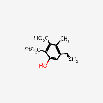 C=Cc1cc(O)c(C(=O)OCC)c(C(=O)O)c1C